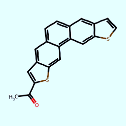 CC(=O)c1cc2cc3ccc4cc5ccsc5cc4c3cc2s1